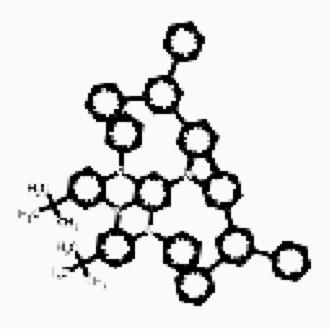 CC(C)(C)c1ccc2c(c1)B1c3cc(C(C)(C)C)ccc3N(c3ccccc3)c3cc(-n4c5cc(-c6cc(-c7ccccc7)cc(-c7ccccc7)c6)ccc5c5ccc(-c6cc(-c7ccccc7)cc(-c7ccccc7)c6)cc54)cc(c31)N2c1ccccc1